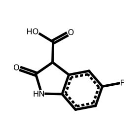 O=C(O)C1C(=O)Nc2ccc(F)cc21